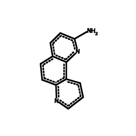 Nc1ccc2ccc3ncccc3c2n1